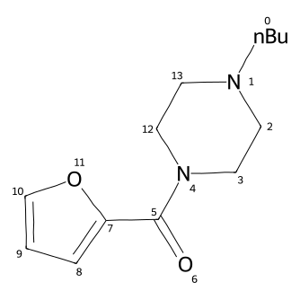 CCCCN1CCN(C(=O)c2ccco2)CC1